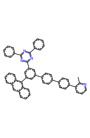 Cc1ncccc1-c1ccc(-c2ccc(-c3cc(-c4nc(-c5ccccc5)nc(-c5ccccc5)n4)cc(-c4c5ccccc5cc5ccccc45)c3)cc2)cc1